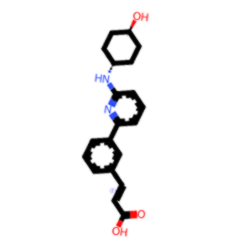 O=C(O)/C=C/c1cccc(-c2cccc(N[C@H]3CC[C@H](O)CC3)n2)c1